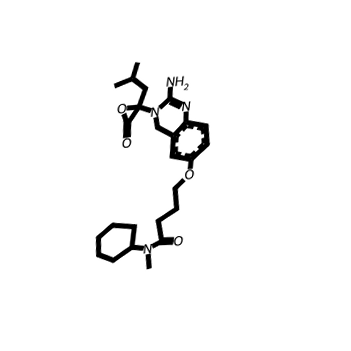 CC(C)CC1(N2Cc3cc(OCCCC(=O)N(C)C4CCCCC4)ccc3N=C2N)OC1=O